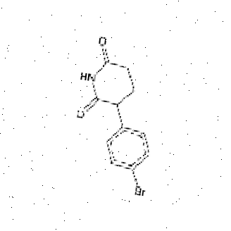 O=C1CCC(c2ccc(Br)cc2)C(=O)N1